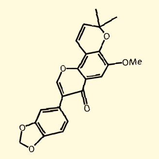 COc1cc2c(=O)c(-c3ccc4c(c3)OCO4)coc2c2c1OC(C)(C)C=C2